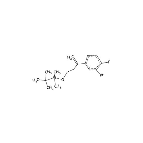 C=C(CCO[Si](C)(C)C(C)(C)C)c1ccc(F)c(Br)c1